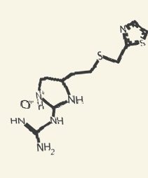 N=C(N)NC1NC(CCSCc2nccs2)C[NH+]1[O-]